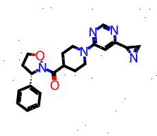 O=C(C1CCN(c2cc(C3C=N3)ncn2)CC1)N1OCC[C@H]1c1ccccc1